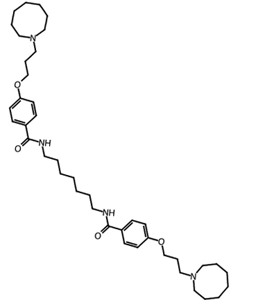 O=C(NCCCCCCCNC(=O)c1ccc(OCCCN2CCCCCCC2)cc1)c1ccc(OCCCN2CCCCCCC2)cc1